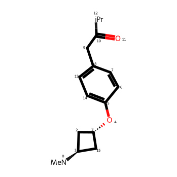 CN[C@H]1C[C@H](Oc2ccc(CC(=O)C(C)C)cc2)C1